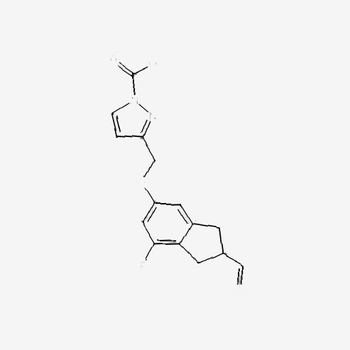 O=CC1Cc2cc(OCc3ccn(C(=O)O)n3)cc(F)c2C1